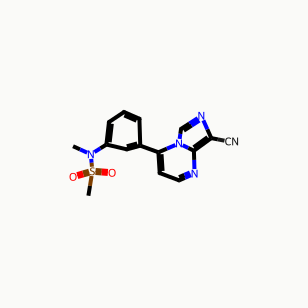 CN(c1cccc(-c2ccnc3c(C#N)ncn23)c1)S(C)(=O)=O